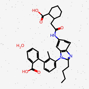 CCCCc1nc2ccc(NC(=O)CC3CCCCC3C(=O)O)cc2n1-c1cccc(-c2ccccc2C(=O)O)c1C.O